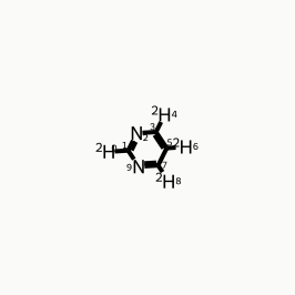 [2H]c1nc([2H])c([2H])c([2H])n1